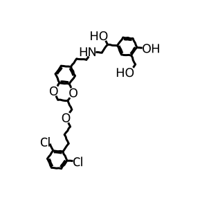 OCc1cc(C(O)CNCCc2ccc3c(c2)OC(COCCCc2c(Cl)cccc2Cl)CO3)ccc1O